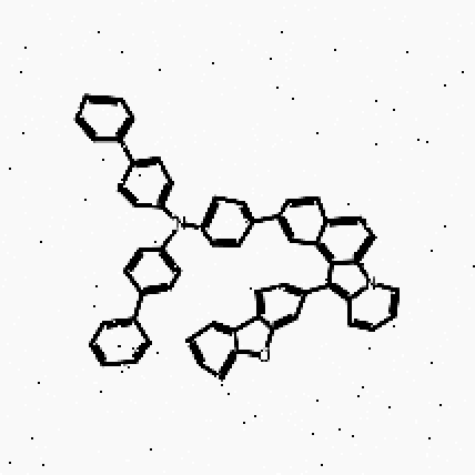 c1ccc(-c2ccc(N(c3ccc(-c4ccccc4)cc3)c3ccc(-c4ccc5ccc6c(c(-c7ccc8c(c7)oc7ccccc78)c7ccccn76)c5c4)cc3)cc2)cc1